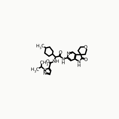 CC1CCC(C(NC(=O)c2ccnn2C(C)C)C(=O)Nc2cc3c(cn2)C2(CCOCC2)C(=O)N3)CC1